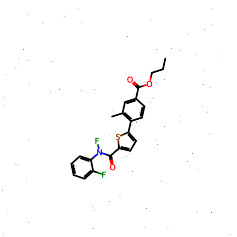 CCCOC(=O)c1ccc(-c2ccc(C(=O)N(F)c3ccccc3F)s2)c(C)c1